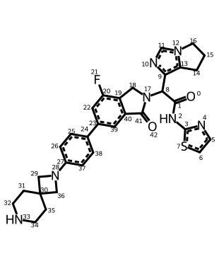 O=C(Nc1nccs1)C(c1ncn2c1CCC2)N1Cc2c(F)cc(-c3ccc(N4CC5(CCNCC5)C4)cc3)cc2C1=O